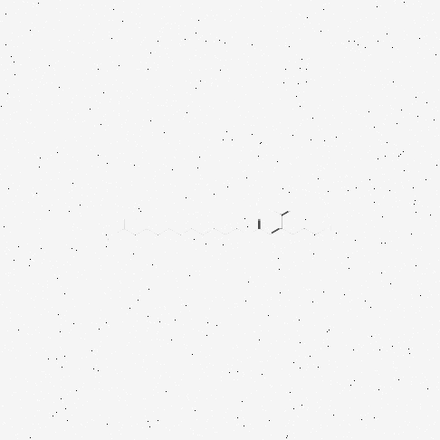 CCCCC(=CC(=O)OCCCCCCCCCCC(C)C)C(=O)O